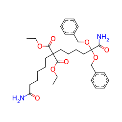 CCOC(=O)C(CCCCCC(N)=O)(CCCCC(OCc1ccccc1)(OCc1ccccc1)C(N)=O)C(=O)OCC